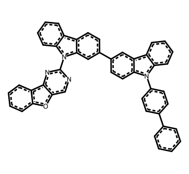 c1ccc(-c2ccc(-n3c4ccccc4c4cc(-c5ccc6c7ccccc7n(-c7ncc8oc9ccccc9c8n7)c6c5)ccc43)cc2)cc1